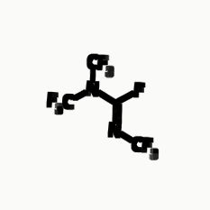 FC(=NC(F)(F)F)N(C(F)(F)F)C(F)(F)F